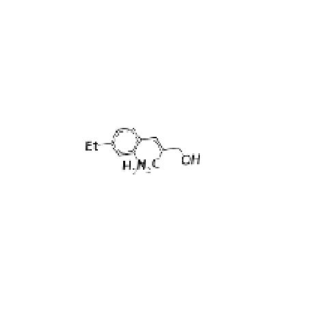 CCc1ccc(/C=C(\C)CO)c(N)c1